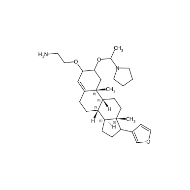 CC(OC1C[C@@]2(C)C(=CC1OCCN)CC[C@@H]1[C@H]2CC[C@]2(C)C(c3ccoc3)CC[C@@H]12)N1CCCC1